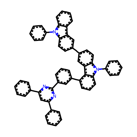 c1ccc(-c2cc(-c3ccccc3)nc(-c3cccc(-c4cccc5c4c4cc(-c6ccc7c(c6)c6ccccc6n7-c6ccccc6)ccc4n5-c4ccccc4)c3)n2)cc1